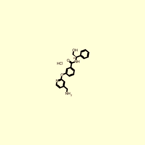 Cl.NCc1ccnc(Oc2cccc(C(=O)N[C@@H](CO)c3ccccc3)c2)c1